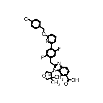 CC1(C)COC[C@H]1n1c(Cc2cc(F)c(-c3cccc(OCc4ccc(Cl)cc4)n3)cc2F)nc2ccc(C(=O)O)cc21